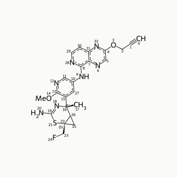 C#CCOc1cnc2c(Nc3cnc(OC)c([C@@]4(C)N=C(N)S[C@@]5(CF)CC54)c3)nccc2n1